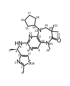 Cc1nc([C@@H](C)Nc2ncc3c(n2)N(C2CCCC2)CC(C)(C)C(=O)N3C)cs1